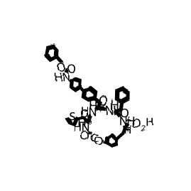 O=C1COc2ccc(cc2)C[C@@H](C(=O)O)NC(=O)[C@H](Cc2ccccc2)NC(=O)[C@H](Cc2ccc(-c3ccc(NC(=O)OCc4ccccc4)cc3)cc2)NC(=O)[C@H](Cc2cccs2)N1